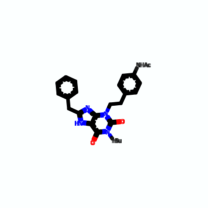 CCCCn1c(=O)c2[nH]c(Cc3ccccc3)nc2n(CCc2ccc(NC(C)=O)cc2)c1=O